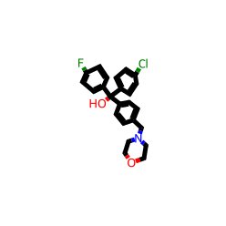 OC(c1ccc(F)cc1)(c1ccc(Cl)cc1)c1ccc(CN2CCOCC2)cc1